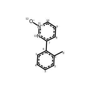 Cc1ccccc1-c1ccc[n+]([O-])n1